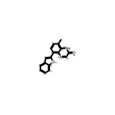 Cc1ccc(-c2cc3ccccc3o2)c2ncc(=O)[nH]c12